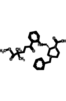 COC(=O)C(C)(C)CCC(=O)c1ccccc1NC[C@H]1CN(Cc2ccccc2)CCN1C(=O)O